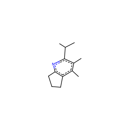 Cc1c(C(C)C)nc2c(c1C)CCC2